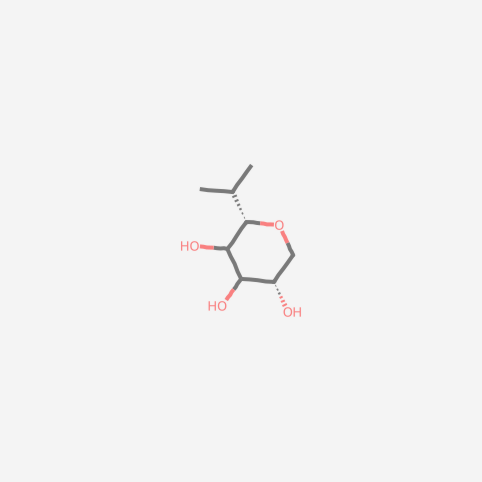 CC(C)[C@@H]1OC[C@H](O)C(O)C1O